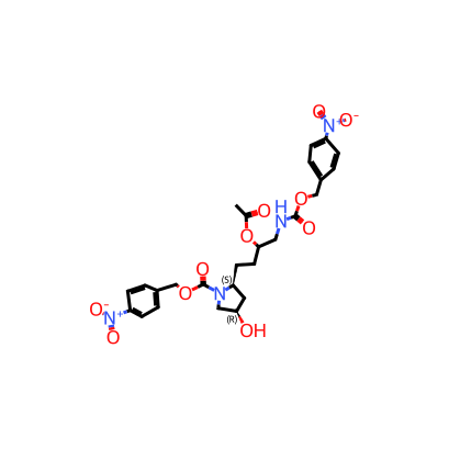 CC(=O)OC(CC[C@H]1C[C@@H](O)CN1C(=O)OCc1ccc([N+](=O)[O-])cc1)CNC(=O)OCc1ccc([N+](=O)[O-])cc1